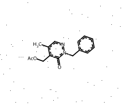 CC(=O)OCc1c(C)cnn(Cc2ccccc2)c1=O